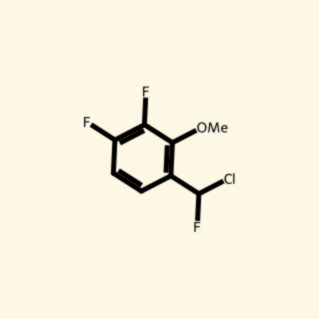 COc1c(C(F)Cl)ccc(F)c1F